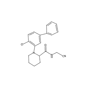 N#CCNC(=O)C1CCCCN1c1cc(-c2ccccc2)ccc1Cl